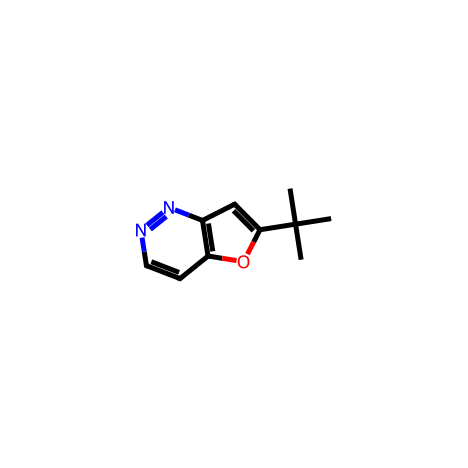 CC(C)(C)c1cc2nnccc2o1